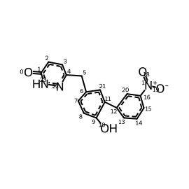 O=c1ccc(Cc2ccc(O)c(-c3cccc([N+](=O)[O-])c3)c2)n[nH]1